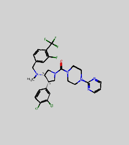 CN(Cc1ccc(C(F)(F)F)c(F)c1)[C@@H]1CN(C(=O)N2CCN(c3ncccn3)CC2)C[C@@H]1c1ccc(Cl)c(Cl)c1